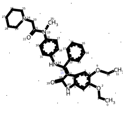 CCOc1cc2c(cc1OCC)/C(=C(/Nc1ccc(N(C)C(=O)CN3CCCCC3)cc1)c1ccccc1)C(=O)N2